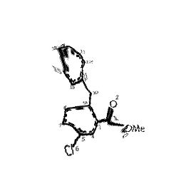 COC(=O)c1cc(Cl)[c]cc1Cc1ccccc1